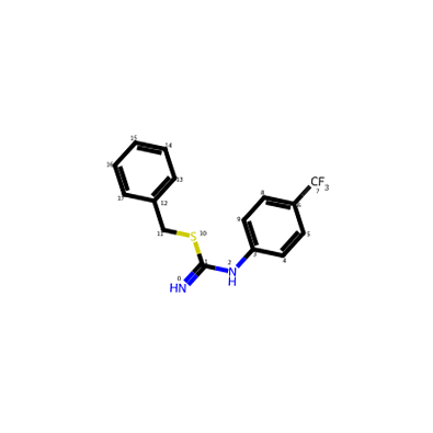 N=C(Nc1ccc(C(F)(F)F)cc1)SCc1ccccc1